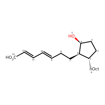 CCCCCCCC[C@H]1CC[C@H](O)[C@@H]1CCC=CC=CC(=O)O